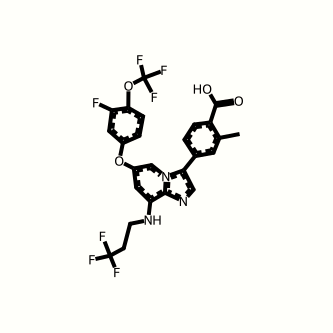 Cc1cc(-c2cnc3c(NCCC(F)(F)F)cc(Oc4ccc(OC(F)(F)F)c(F)c4)cn23)ccc1C(=O)O